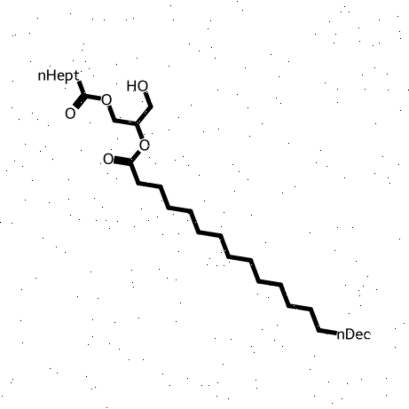 CCCCCCCCCCCCCCCCCCCCCCCC(=O)OC(CO)COC(=O)CCCCCCC